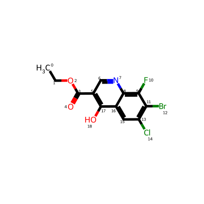 CCOC(=O)c1cnc2c(F)c(Br)c(Cl)cc2c1O